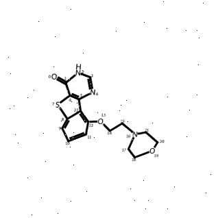 O=c1[nH]cnc2c1sc1cccc(OCCN3CCOCC3)c12